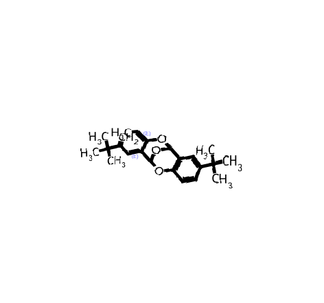 C=C(/C=C1\C(=C/C)OC2OC1Oc1ccc(C(C)(C)C)cc12)C(C)(C)C